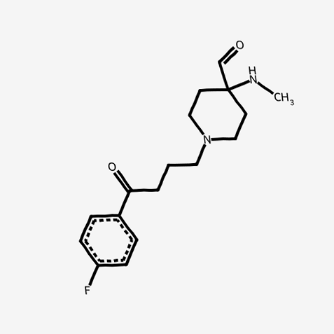 CNC1(C=O)CCN(CCCC(=O)c2ccc(F)cc2)CC1